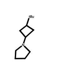 CC(C)(C)C1CC(N2CCCC2)C1